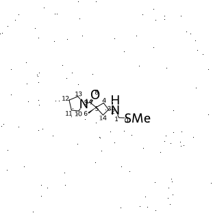 CSCN[C@H]1C[C@@](C)(C(=O)N2CCCC2)C1